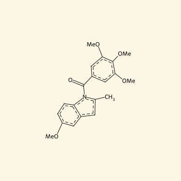 COc1ccc2c(c1)cc(C)n2C(=O)c1cc(OC)c(OC)c(OC)c1